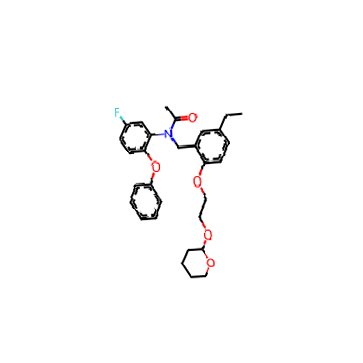 CCc1ccc(OCCOC2CCCCO2)c(CN(C(C)=O)c2cc(F)ccc2Oc2ccccc2)c1